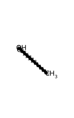 CCCCCCCCCCCCCCCCCCCCCOO